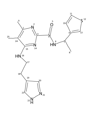 Cc1nc(C(=O)NC(C)c2ccsc2)nc(NCCc2cn[nH]c2)c1C